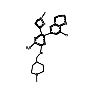 CN1CCN(CNc2nc(-c3cc(Cl)c4ncccc4c3)c(-c3ccn(C)n3)nc2N)CC1